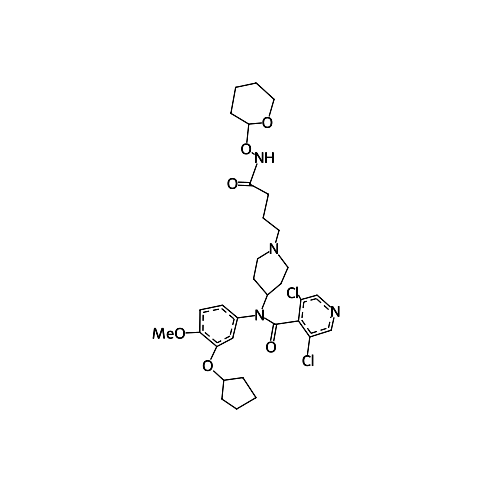 COc1ccc(N(C(=O)c2c(Cl)cncc2Cl)C2CCN(CCCC(=O)NOC3CCCCO3)CC2)cc1OC1CCCC1